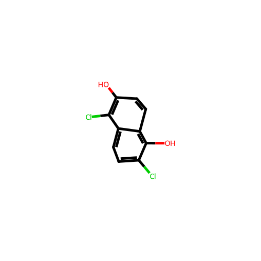 Oc1ccc2c(O)c(Cl)ccc2c1Cl